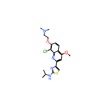 COc1cc(-c2csc(NC(C)C)n2)nc2c(Cl)c(OCCN(C)C)ccc12